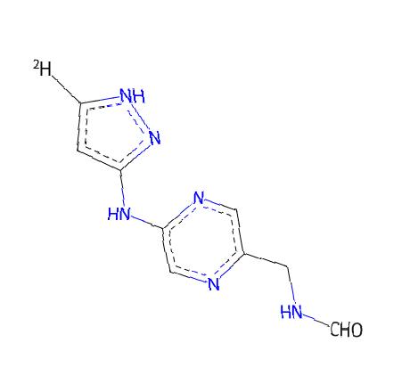 [2H]c1cc(Nc2cnc(CNC=O)cn2)n[nH]1